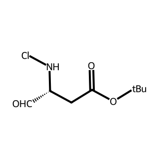 CC(C)(C)OC(=O)C[C@H](C=O)NCl